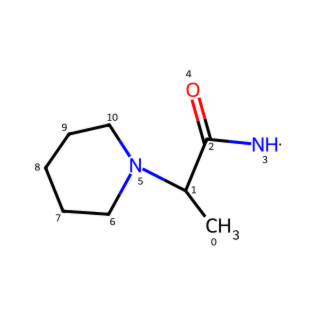 CC(C([NH])=O)N1CCCCC1